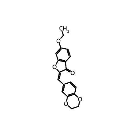 CCOc1ccc2c(c1)OC(=Cc1ccc3c(c1)OCCO3)C2=O